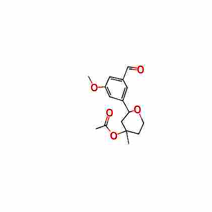 COc1cc(C=O)cc(C2CC(C)(OC(C)=O)CCO2)c1